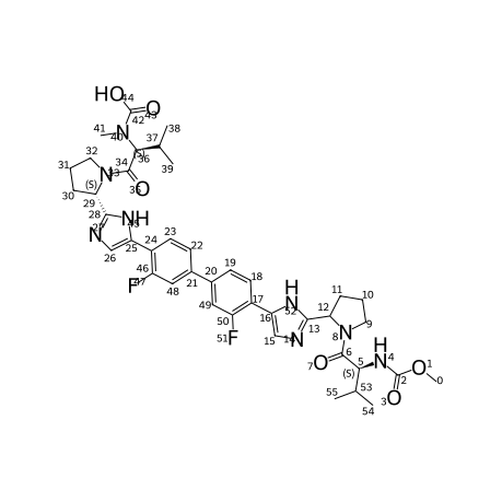 COC(=O)N[C@H](C(=O)N1CCCC1c1ncc(-c2ccc(-c3ccc(-c4cnc([C@@H]5CCCN5C(=O)[C@H](C(C)C)N(C)C(=O)O)[nH]4)c(F)c3)cc2F)[nH]1)C(C)C